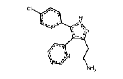 NCCc1n[nH]c(-c2ccc(Cl)cc2)c1-c1ccncn1